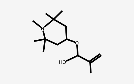 C=C(C)C(O)OC1CC(C)(C)N(C)C(C)(C)C1